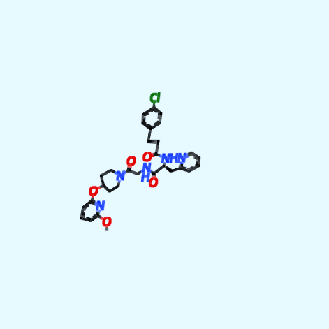 COc1cccc(OC2CCN(C(=O)CNC(=O)[C@H](Cc3ccccn3)NC(=O)/C=C/c3ccc(Cl)cc3)CC2)n1